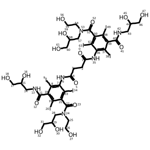 O=C(CCC(=O)Nc1c(I)c(C(=O)NCC(O)CO)c(I)c(C(=O)N(CCO)CC(O)CO)c1I)Nc1c(I)c(C(=O)NCC(O)CO)c(I)c(C(=O)N(CCO)CC(O)CO)c1I